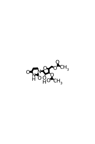 CC(=O)OCC1OC(n2ccc(=O)[nH]c2=O)[C@@H](O)[C@@H]1OC(C)=O